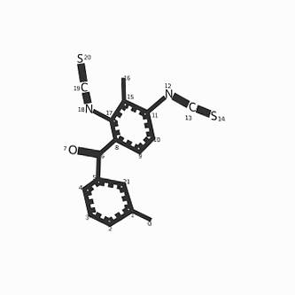 Cc1cccc(C(=O)c2ccc(N=C=S)c(C)c2N=C=S)c1